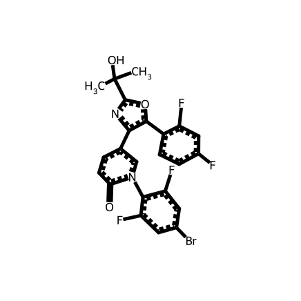 CC(C)(O)c1nc(-c2ccc(=O)n(-c3c(F)cc(Br)cc3F)c2)c(-c2ccc(F)cc2F)o1